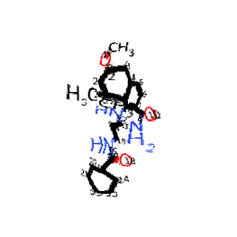 CO[C@H]1Cc2ccc(C(N)=O)c(NCCCNC(=O)C3CCCCC3)c2C(C)(C)C1